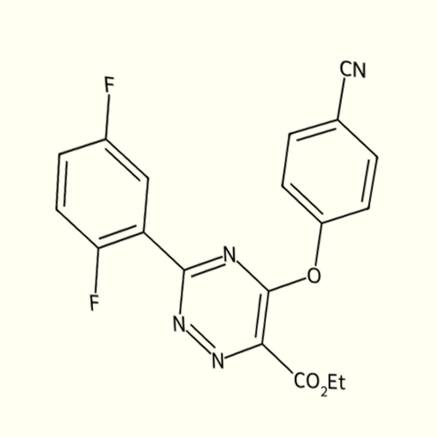 CCOC(=O)c1nnc(-c2cc(F)ccc2F)nc1Oc1ccc(C#N)cc1